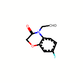 O=CCN1C(=O)COc2cc(F)ccc21